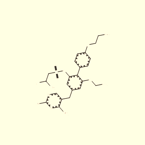 CCOc1cc(Cc2cnc(N)nc2N)cc(OS(=O)(=O)CC(C)C)c1-c1ccc(OCCO)cc1